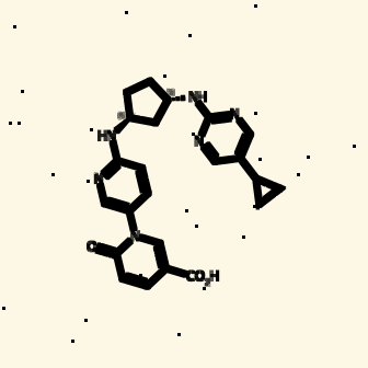 O=C(O)c1ccc(=O)n(-c2ccc(N[C@H]3CC[C@H](Nc4ncc(C5CC5)cn4)C3)nc2)c1